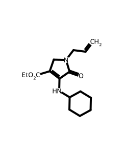 C=CCN1CC(C(=O)OCC)=C(NC2CCCCC2)C1=O